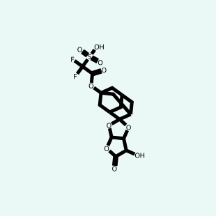 O=C1OC2OC3(OC2C1O)C1CC2CC3CC(OC(=O)C(F)(F)S(=O)(=O)O)(C2)C1